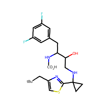 CC(C)(C)Cc1csc(C2(NCC(O)C(Cc3cc(F)cc(F)c3)NC(=O)O)CC2)n1